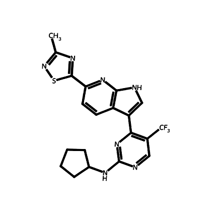 Cc1nsc(-c2ccc3c(-c4nc(NC5CCCC5)ncc4C(F)(F)F)c[nH]c3n2)n1